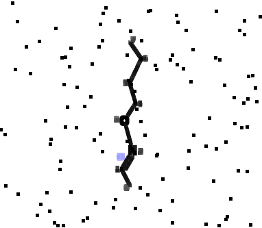 C/C=N/OCCCC